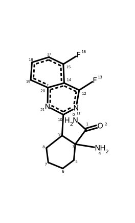 NC(=O)C1(N)CCCCC1c1nc(F)c2c(F)cccc2n1